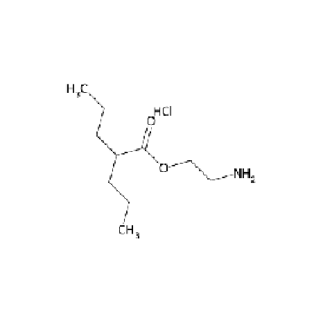 CCCC(CCC)C(=O)OCCN.Cl